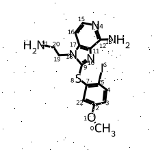 COc1ccc(I)c(Sc2nc3c(N)nccc3n2CCN)c1